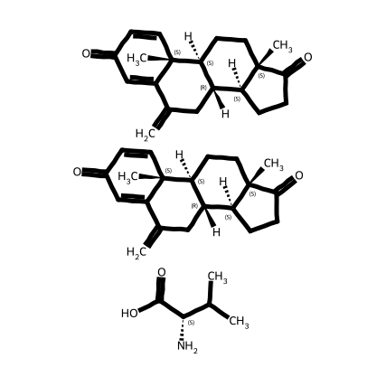 C=C1C[C@@H]2[C@H](CC[C@]3(C)C(=O)CC[C@@H]23)[C@@]2(C)C=CC(=O)C=C12.C=C1C[C@@H]2[C@H](CC[C@]3(C)C(=O)CC[C@@H]23)[C@@]2(C)C=CC(=O)C=C12.CC(C)[C@H](N)C(=O)O